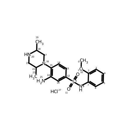 COc1ccccc1NS(=O)(=O)c1ccc(N2CC(C)NCC2C)c(N)c1.Cl